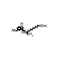 C=C(CCCCCCCCCCCCCCCCCCC)NCCc1c[nH]c2ccc(CC(C)=O)cc12